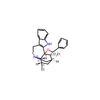 CCOC(=O)C1[C@H]2C[C@H](CC)[C@@H]3[N@@](CCc4c([nH]c5ccccc45)[C@]13OCc1ccccc1)C2